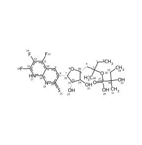 CCC(C)(C[C@H]1O[C@@H](c2cc3c(F)c(F)c(F)[nH]c-3nc2=S)[C@@H](O)C1O)OP(=O)(O)C(C)(O)CC